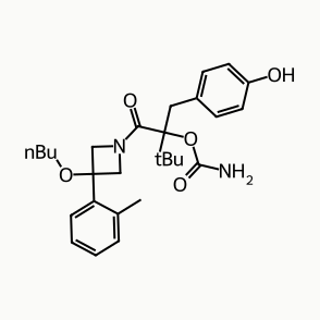 CCCCOC1(c2ccccc2C)CN(C(=O)C(Cc2ccc(O)cc2)(OC(N)=O)C(C)(C)C)C1